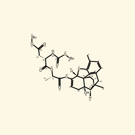 Cc1ccc2c3c1O[C@H]1C(OC(=O)[C@H](C)OC(=O)[C@H](CC(=O)OC(C)(C)C)NC(=O)OC(C)(C)C)=CC[C@@]4(O)[C@@H](C2)N(C)CC[C@]314